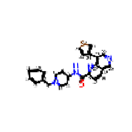 O=C(NC1CCN(Cc2ccccc2)CC1)c1ccc2cncc(-c3ccsc3)c2n1